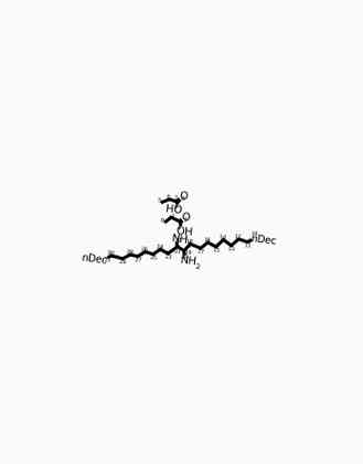 CCC(=O)O.CCC(=O)O.CCCCCCCCCCCCCCCCCCC(N)C(N)CCCCCCCCCCCCCCCCCC